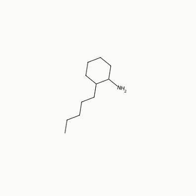 CCCCCC1CCCCC1N